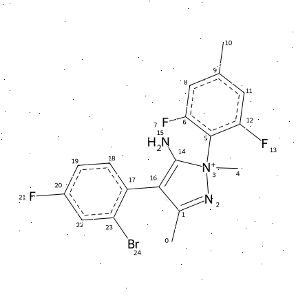 CC1=N[N+](C)(c2c(F)cc(C)cc2F)C(N)=C1c1ccc(F)cc1Br